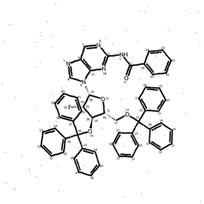 O=C(Nc1ncc2ncn([C@@H]3O[C@H](COC(c4ccccc4)(c4ccccc4)c4ccccc4)[C@@H](OC(c4ccccc4)(c4ccccc4)c4ccccc4)[C@@H]3F)c2n1)c1ccccc1